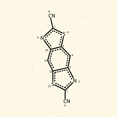 N#Cc1nc2cc3sc(C#N)nc3cc2s1